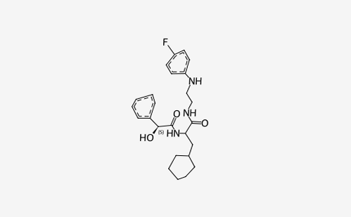 O=C(NCCNc1ccc(F)cc1)C(CC1CCCCC1)NC(=O)[C@@H](O)c1ccccc1